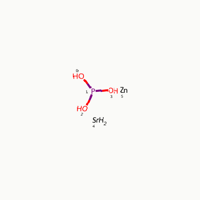 OP(O)O.[SrH2].[Zn]